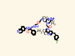 C[C@@H]1CN(CC(=O)N2CC(C)(C)c3ncc(Cc4ccc(F)cc4)cc32)[C@@H](CN(C)CCOCCNC[C@@H](C(=O)Nc2ccc3cnccc3c2)c2ccccc2)CN1